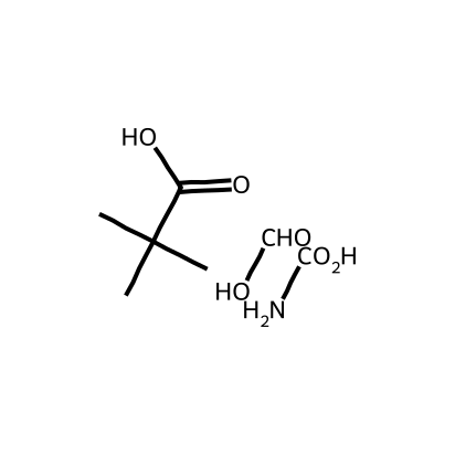 CC(C)(C)C(=O)O.NC(=O)O.O=CO